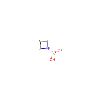 O=S(O)N1CCC1